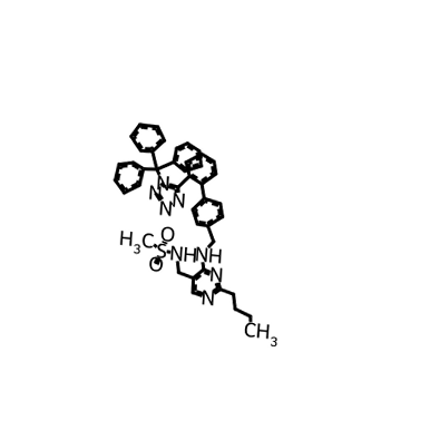 CCCCc1ncc(CNS(C)(=O)=O)c(NCc2ccc(-c3ccccc3-c3nnnn3C(c3ccccc3)(c3ccccc3)c3ccccc3)cc2)n1